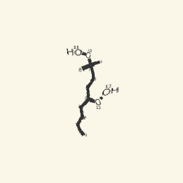 CCCCC(CCC(C)(C)OO)OO